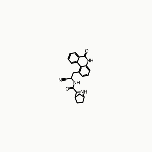 N#CC(Cc1cccc2[nH]c(=O)c3ccccc3c12)NC(=O)C1NC2CCC1C2